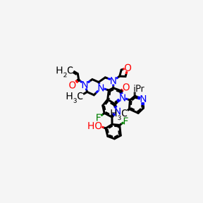 C=CC(=O)N1CC2CN(C3COC3)c3c(c4cc(F)c(-c5c(O)cccc5F)nc4n(-c4c(C)ccnc4C(C)C)c3=O)N2CC1C